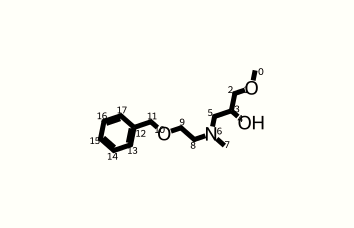 COCC(O)CN(C)CCOCc1ccccc1